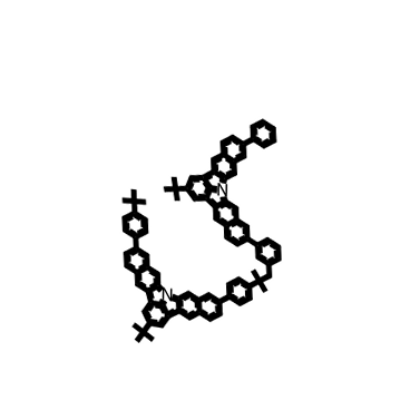 CC(C)(C)c1ccc(-c2ccc3cc4c5cc(C(C)(C)C)cc6c7cc8ccc(-c9ccc(C(C)(C)Cc%10cccc(-c%11ccc%12cc%13c%14cc(C(C)(C)C)cc%15c%16cc%17ccc(-c%18ccccc%18)cc%17cc%16n(c%13cc%12c%11)c%15%14)c%10)cc9)cc8cc7n(c4cc3c2)c56)cc1